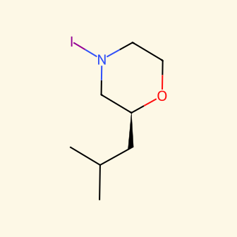 CC(C)C[C@H]1CN(I)CCO1